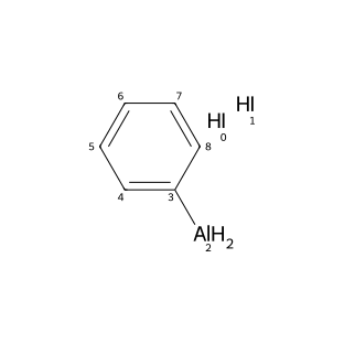 I.I.[AlH2][c]1ccccc1